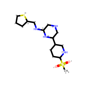 CS(=O)(=O)C1CCC(C2CNCC(NCC3CCCS3)N2)CN1